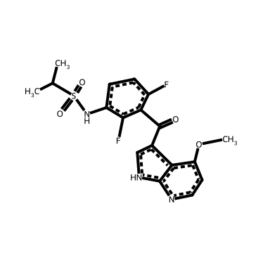 COc1ccnc2[nH]cc(C(=O)c3c(F)ccc(NS(=O)(=O)C(C)C)c3F)c12